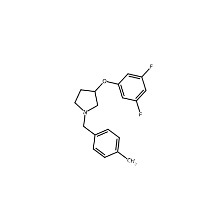 Cc1ccc(CN2CCC(Oc3cc(F)cc(F)c3)C2)cc1